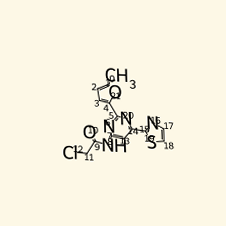 Cc1ccc(-c2nc(NC(=O)CCl)cc(-c3nccs3)n2)o1